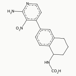 Nc1nccc(-c2ccc3c(c2)CCCC3NC(=O)O)c1[N+](=O)[O-]